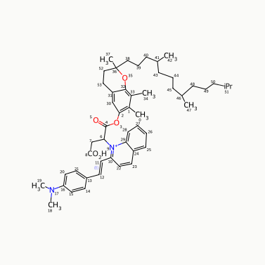 Cc1c(OC(=O)C(CC(=O)O)[n+]2c(/C=C/c3ccc(N(C)C)cc3)ccc3ccccc32)cc2c(c1C)OC(C)(CCCC(C)CCCC(C)CCCC(C)C)CC2